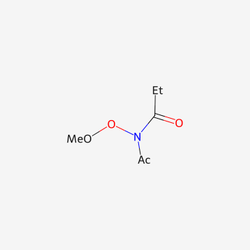 CCC(=O)N(OOC)C(C)=O